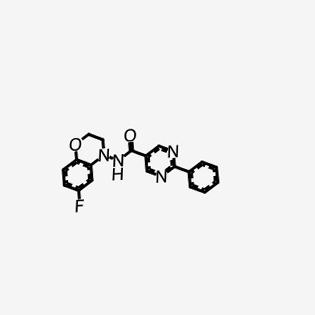 O=C(NN1CCOc2ccc(F)cc21)c1cnc(-c2ccccc2)nc1